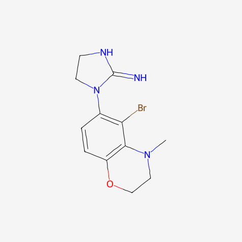 CN1CCOc2ccc(N3CCNC3=N)c(Br)c21